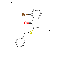 CC(SCc1ccccc1)C(=O)c1ccccc1Br